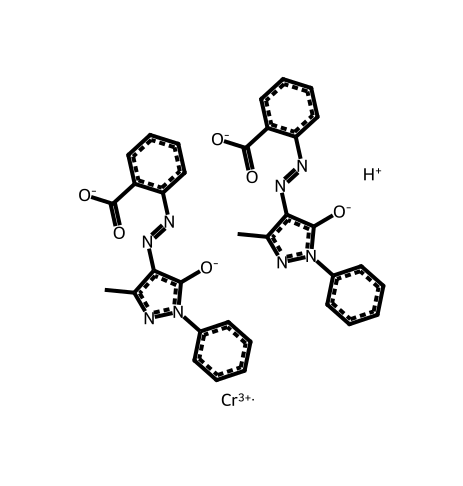 Cc1nn(-c2ccccc2)c([O-])c1N=Nc1ccccc1C(=O)[O-].Cc1nn(-c2ccccc2)c([O-])c1N=Nc1ccccc1C(=O)[O-].[Cr+3].[H+]